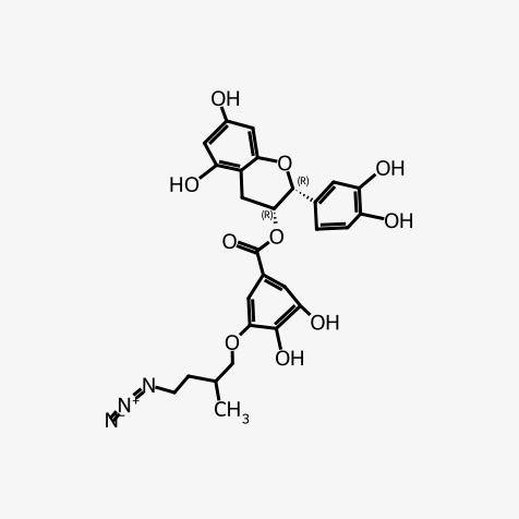 CC(CCN=[N+]=[N-])COc1cc(C(=O)O[C@@H]2Cc3c(O)cc(O)cc3O[C@@H]2c2ccc(O)c(O)c2)cc(O)c1O